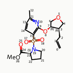 C=CC[C@@H]1COC[C@@H]1Oc1nc(C)ccc1S(=O)(=O)N1CCC[C@H]1C(=O)OC